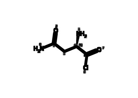 NC(=O)C[C@H](N)C(=O)Cl